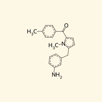 Cc1ccc(C(=O)c2ccc(Cc3cccc(N)c3)n2C)cc1